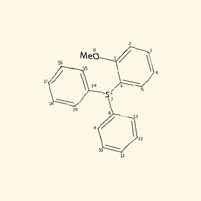 COc1ccccc1[S+](c1ccccc1)c1ccccc1